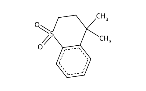 CC1(C)CCS(=O)(=O)c2ccccc21